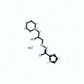 Cl.OC(CO/N=C(\Cl)c1cccs1)CN1CCCCC1